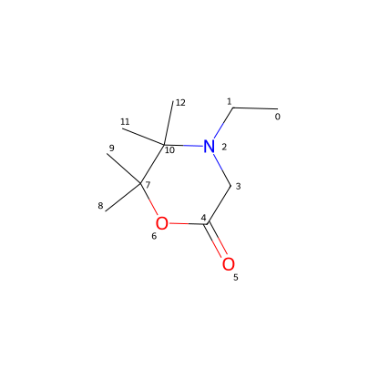 CCN1CC(=O)OC(C)(C)C1(C)C